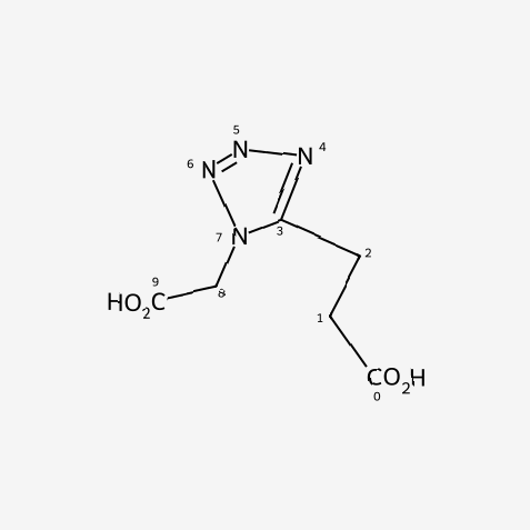 O=C(O)CCc1nnnn1CC(=O)O